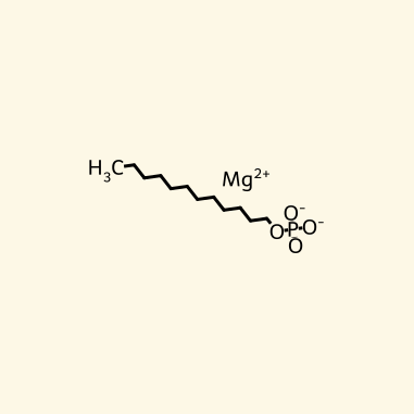 CCCCCCCCCCCCOP(=O)([O-])[O-].[Mg+2]